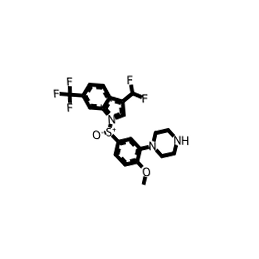 COc1ccc([S+]([O-])n2cc(C(F)F)c3ccc(C(F)(F)F)cc32)cc1N1CCNCC1